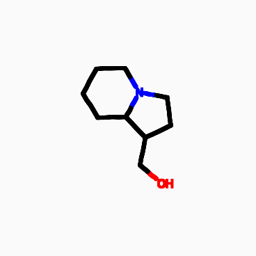 OCC1CCN2CCCCC12